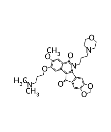 COc1cc2c(=O)n(CCCN3CCOCC3)c3c(c2cc1OCCCN(C)C)C(=O)c1cc2c(cc1-3)OCO2